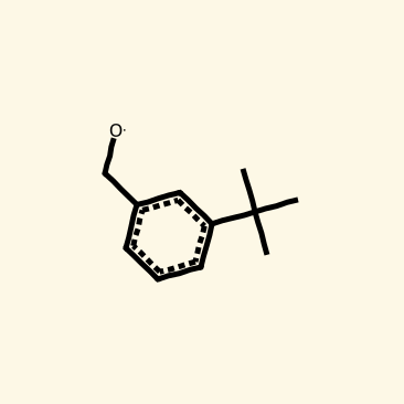 CC(C)(C)c1cccc(C[O])c1